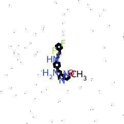 COc1ccc2nccc(C[C@@H](N)C3CCC(NC/C=C/c4cc(F)ccc4F)CC3)c2n1